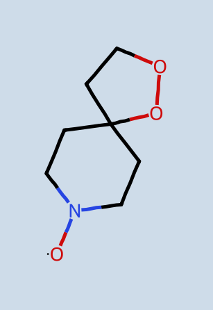 [O]N1CCC2(CCOO2)CC1